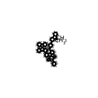 CC1(C)c2ccccc2-c2ccc(-c3ccc(N(c4ccc5c(c4)C(c4ccccc4)(c4ccccc4)c4ccccc4-5)c4cccc5c4-c4ccccc4C54c5ccccc5N(c5ccccc5)c5ccccc54)cc3)cc21